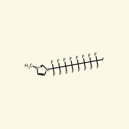 C[n+]1ccn(C(F)(F)C(F)(F)C(F)(F)C(F)(F)C(F)(F)C(F)(F)C(F)(F)C(F)(F)F)c1